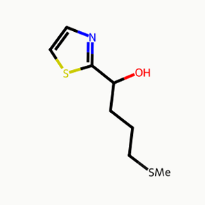 CSCCCC(O)c1nccs1